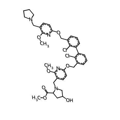 COC(=O)C1CC(O)CN1Cc1ccc(OCc2cccc(-c3cccc(COc4ccc(CN5CCCC5)c(OC)n4)c3Cl)c2Cl)nc1OC